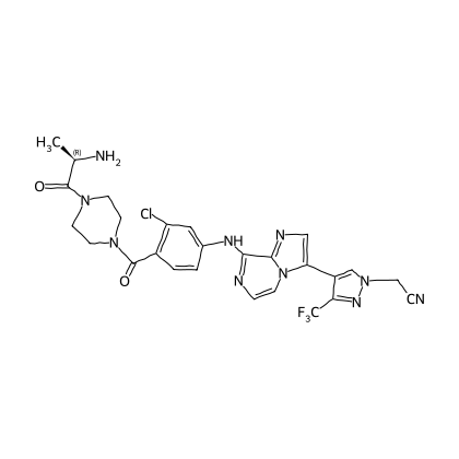 C[C@@H](N)C(=O)N1CCN(C(=O)c2ccc(Nc3nccn4c(-c5cn(CC#N)nc5C(F)(F)F)cnc34)cc2Cl)CC1